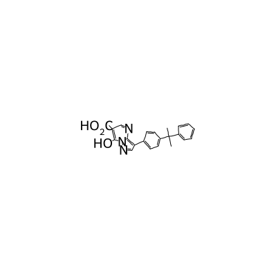 CC(C)(c1ccccc1)c1ccc(-c2cnn3c(O)c(C(=O)O)cnc23)cc1